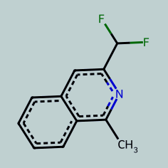 Cc1nc(C(F)F)cc2ccccc12